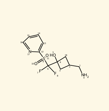 NCC1CC(O)(C(F)(F)S(=O)(=O)c2ccccn2)C1